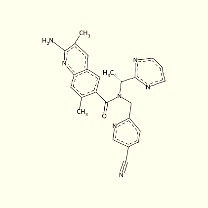 Cc1cc2nc(N)c(C)cc2cc1C(=O)N(Cc1ccc(C#N)cn1)[C@H](C)c1ncccn1